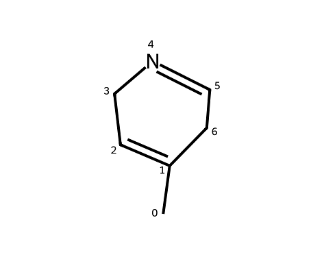 CC1=CCN=CC1